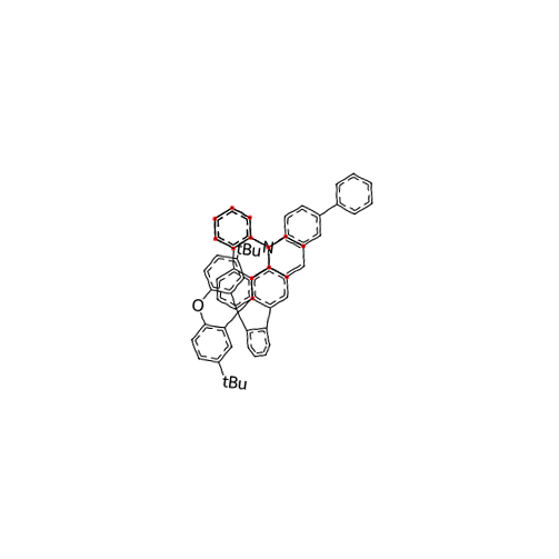 CC(C)(C)c1ccc2c(c1)C1(c3cc(C(C)(C)C)ccc3O2)c2ccccc2-c2ccc(N(c3ccc(-c4ccccc4)cc3)c3ccccc3-c3ccccc3C3C=CC=CC3c3ccccc3)cc21